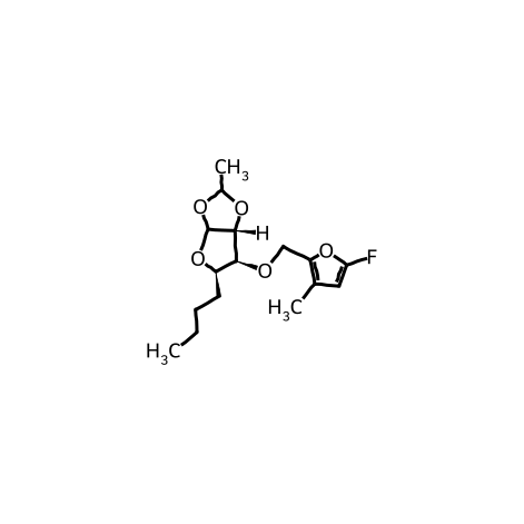 CCCC[C@H]1OC2OC(C)O[C@@H]2[C@H]1OCc1oc(F)cc1C